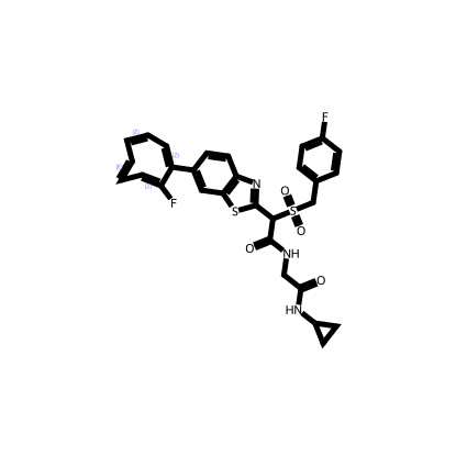 O=C(CNC(=O)C(c1nc2ccc(C3=C/C=C\C=C\C=C\3F)cc2s1)S(=O)(=O)Cc1ccc(F)cc1)NC1CC1